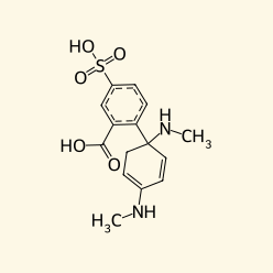 CNC1=CCC(NC)(c2ccc(S(=O)(=O)O)cc2C(=O)O)C=C1